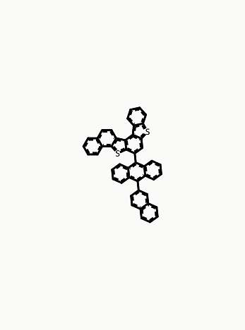 c1ccc2cc(-c3c4ccccc4c(-c4cc5sc6ccccc6c5c5c4sc4c6ccccc6ccc45)c4ccccc34)ccc2c1